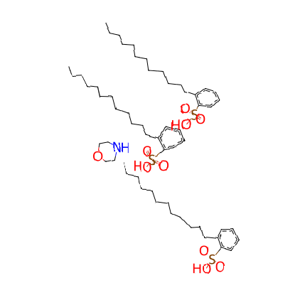 C1COCCN1.CCCCCCCCCCCCc1ccccc1S(=O)(=O)O.CCCCCCCCCCCCc1ccccc1S(=O)(=O)O.CCCCCCCCCCCCc1ccccc1S(=O)(=O)O